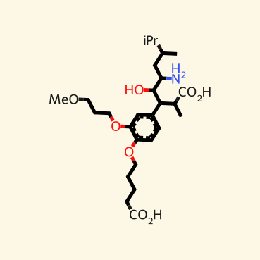 COCCCOc1cc(C(C(C)C(=O)O)C(O)C(N)CC(C)C(C)C)ccc1OCCCCC(=O)O